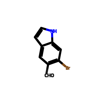 O=Cc1cc2cc[nH]c2cc1Br